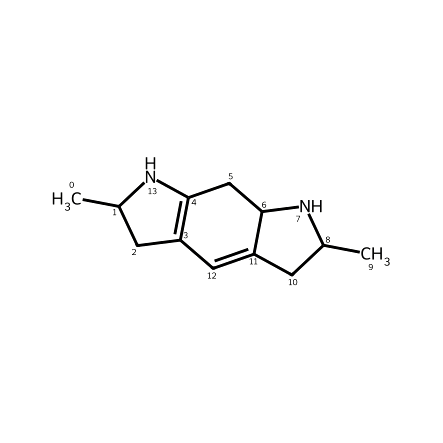 CC1CC2=C(CC3NC(C)CC3=C2)N1